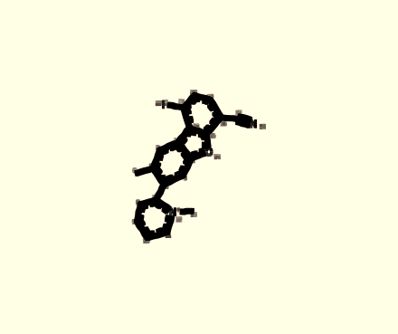 Cc1cc2c(cc1-c1cccc[n+]1C)oc1c(C#N)ccc(F)c12